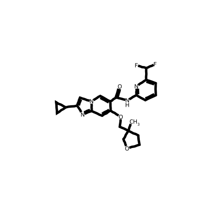 CC1(COc2cc3nc(C4CC4)cn3cc2C(=O)Nc2cccc(C(F)F)n2)CCOC1